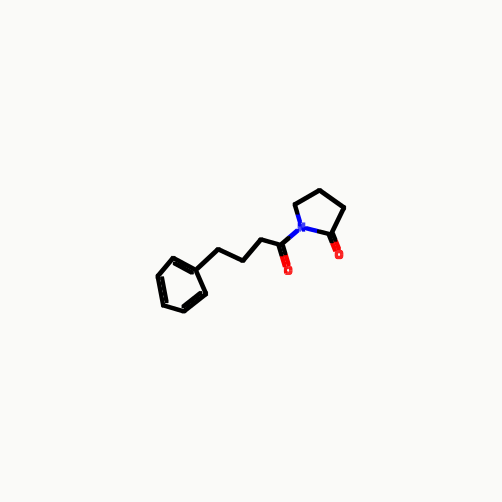 O=C(CCCc1ccccc1)N1CCCC1=O